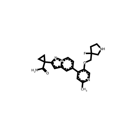 Cc1cc(-c2ccn3nc(C4(C(N)=O)CC4)cc3c2)c(OCC2(F)CCNC2)cn1